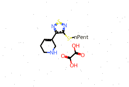 CCCCCSc1nsnc1C1=CCCNC1.O=C(O)C(=O)O